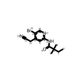 CCC(C)(C)C(=O)Nc1cc(CC#N)c(Br)cn1